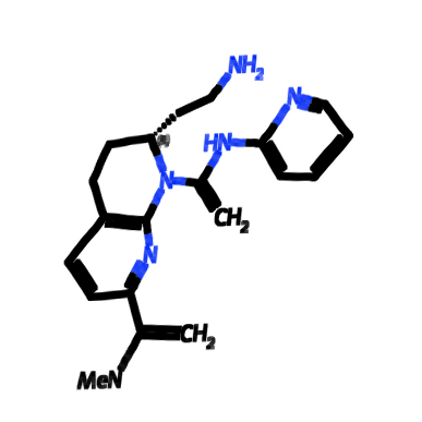 C=C(NC)c1ccc2c(n1)N(C(=C)Nc1ccccn1)[C@@H](CCN)CC2